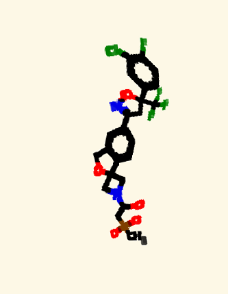 CS(=O)(=O)CC(=O)N1CC2(C1)OCc1cc(C3=NOC(c4ccc(F)c(Cl)c4)(C(F)(F)F)C3)ccc12